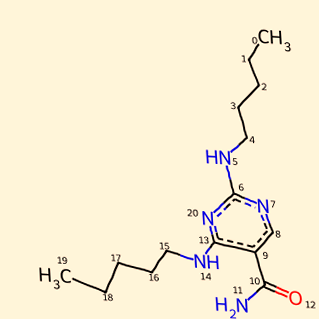 CCCCCNc1ncc(C(N)=O)c(NCCCCC)n1